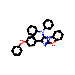 c1ccc(Oc2ccc(-c3nc4oc5ccccc5n4c3N(c3ccccc3)c3ccccc3)cc2)cc1